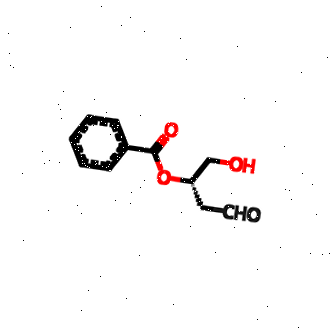 O=CC[C@@H](CO)OC(=O)c1ccccc1